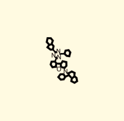 c1ccc(-c2nc(-c3ccc4ccccc4c3)nc(-c3cccc4oc5c(-n6c7ccccc7c7c8ccccc8ccc76)cccc5c34)n2)cc1